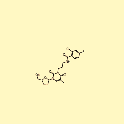 Cc1cn([C@H]2CC[C@@H](CO)O2)c(=O)n(CCCNC(=O)c2ccc(F)cc2Cl)c1=O